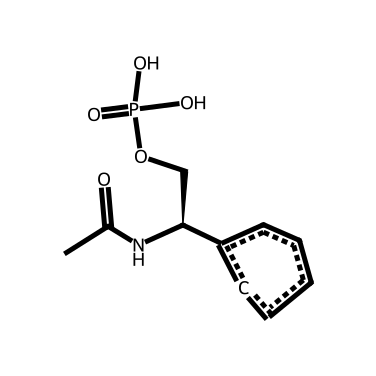 CC(=O)N[C@@H](COP(=O)(O)O)c1ccccc1